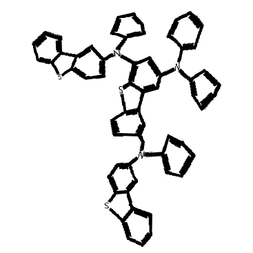 c1ccc(N(c2ccc3sc4ccccc4c3c2)c2ccc3sc4c(N(c5ccccc5)c5ccc6sc7ccccc7c6c5)cc(N(c5ccccc5)c5ccccc5)cc4c3c2)cc1